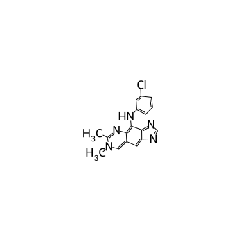 Cc1nc2c(Nc3cccc(Cl)c3)c3ncnc3cc2cn1C